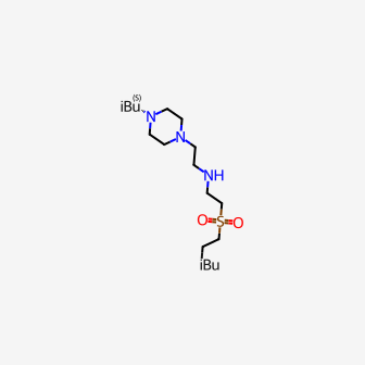 CCC(C)CCS(=O)(=O)CCNCCN1CCN([C@@H](C)CC)CC1